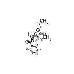 C=CCOC(=O)C(C)(CC)CN(C)C(=O)c1ccccc1